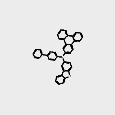 c1ccc(-c2ccc(N(c3ccc4oc5ccccc5c4c3)c3ccc4c5ccccc5c5ccccc5c4c3)cc2)cc1